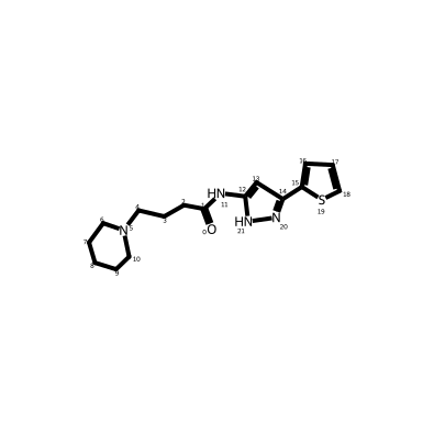 O=C(CCCN1CCCCC1)Nc1cc(-c2cccs2)n[nH]1